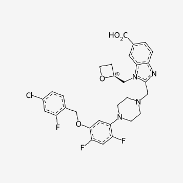 O=C(O)c1ccc2nc(CN3CCN(c4cc(OCc5ccc(Cl)cc5F)c(F)cc4F)CC3)n(C[C@@H]3CCO3)c2c1